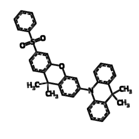 CC1(C)c2ccc(N3c4ccccc4C(C)(C)c4ccccc43)cc2Oc2cc(S(=O)(=O)c3ccccc3)ccc21